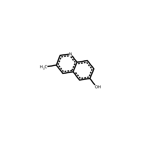 Cc1cnc2ccc(O)cc2c1